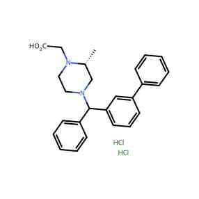 C[C@@H]1CN(C(c2ccccc2)c2cccc(-c3ccccc3)c2)CCN1CC(=O)O.Cl.Cl